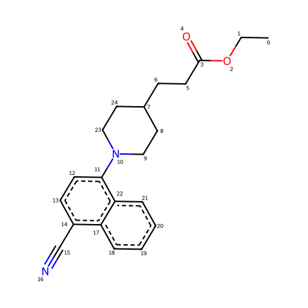 CCOC(=O)CCC1CCN(c2ccc(C#N)c3ccccc23)CC1